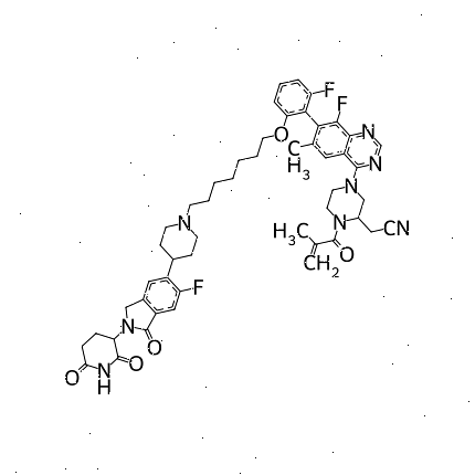 C=C(C)C(=O)N1CCN(c2ncnc3c(F)c(-c4c(F)cccc4OCCCCCCCN4CCC(c5cc6c(cc5F)C(=O)N(C5CCC(=O)NC5=O)C6)CC4)c(C)cc23)CC1CC#N